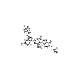 C[C@@]1(c2ccc(CCC(=O)O)c(Br)c2)C(=O)Nc2nc(-c3nn(CCC(F)(F)C(F)(F)F)c4cc(Cl)ccc34)nc(N)c21